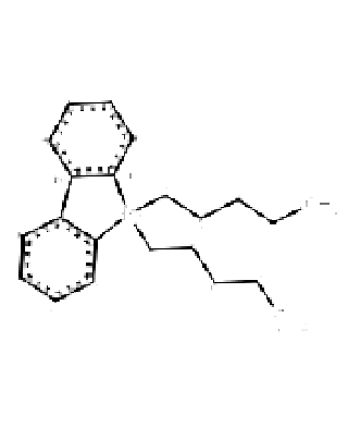 CCCCC[P]1(CCCCC)c2ccccc2-c2ccccc21